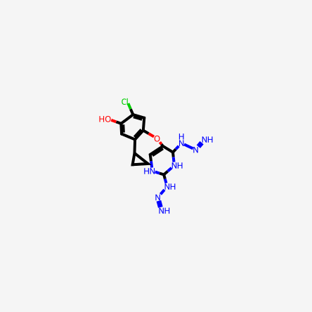 N=NNC1NC=C(Oc2cc(Cl)c(O)cc2C2CC2)C(NN=N)N1